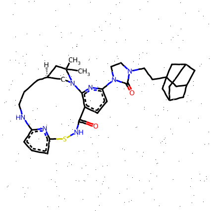 CC1(C)C[C@@H]2CCCNc3cccc(n3)SNC(=O)c3ccc(N4CCN(CCC56CC7CC(CC(C7)C5)C6)C4=O)nc3N1C2